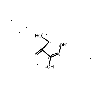 C=C(CO)/C(O)=C\CCC